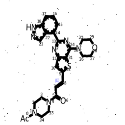 CC(=O)N1CCN(C(=O)/C=C/c2cc3nc(-c4cccc5[nH]ncc45)nc(N4CCOCC4)c3s2)CC1